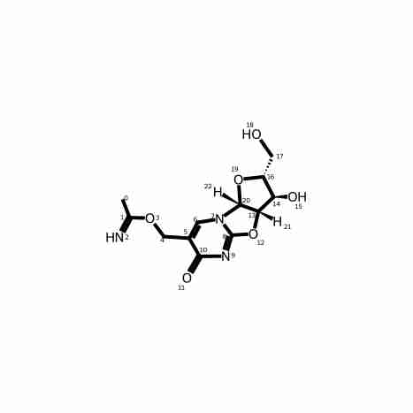 CC(=N)OCc1cn2c(nc1=O)O[C@H]1[C@H](O)[C@@H](CO)O[C@H]12